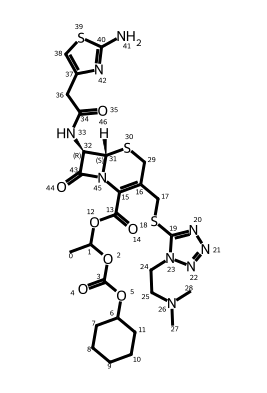 CC(OC(=O)OC1CCCCC1)OC(=O)C1=C(CSc2nnnn2CCN(C)C)CS[C@H]2[C@H](NC(=O)Cc3csc(N)n3)C(=O)N12